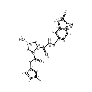 Cc1cc(CC(=O)N2C[C@H](O)C[C@H]2C(=O)NCc2ccc3[nH]c(=O)[nH]c3c2)on1